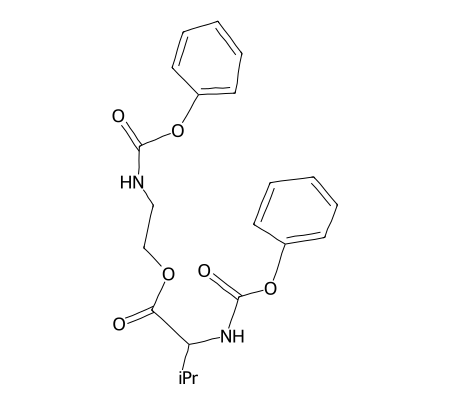 CC(C)C(NC(=O)Oc1ccccc1)C(=O)OCCNC(=O)Oc1ccccc1